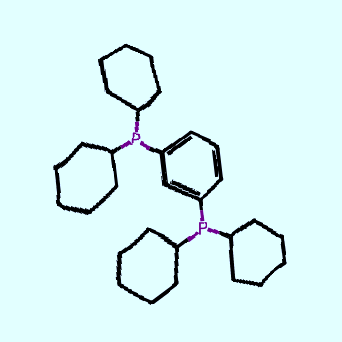 c1cc(P(C2CCCCC2)C2CCCCC2)cc(P(C2CCCCC2)C2CCCCC2)c1